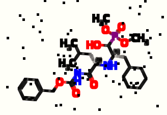 COP(=O)(OC)C(O)[C@H](CC1CCCCC1)N[C@@H](CC(C)C)C(=O)NC(=O)OCc1ccccc1